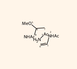 C=CNC(C)=O.CC(N)=O.COC(C)NC(C)=O